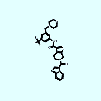 O=C(Nc1cc(CN2CCOCC2)cc(C(F)(F)F)c1)c1csc2c1CCN(C(=O)c1cnc3ccccn13)C2